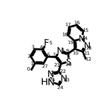 Cc1ccc(F)c(-c2nc(-c3c(C)nn4ccccc34)sc2-c2nc[nH]n2)c1